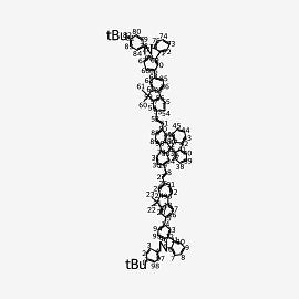 CC(C)(C)c1ccc(-n2c3ccccc3c3cc(-c4ccc5c(c4)C(C)(C)c4cc(/C=C/c6ccc7c(c6)C6(c8ccccc8-c8ccccc86)c6cc(/C=C/c8ccc9c(c8)C(C)(C)c8cc(-c%10ccc%11c(c%10)c%10ccccc%10n%11-c%10ccc(C(C)(C)C)cc%10)ccc8-9)ccc6-7)ccc4-5)ccc32)cc1